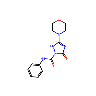 O=C(Nc1ccccc1)n1[nH]c(N2CCOCC2)nc1=O